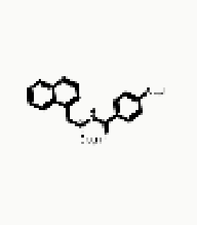 O=C(O)c1ccc(C(=O)N[C@@H](Cc2cccc3ccccc23)C(=O)O)cc1